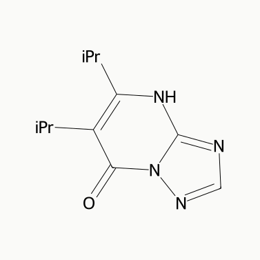 CC(C)c1[nH]c2ncnn2c(=O)c1C(C)C